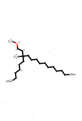 CCCCCCCCCCCCCCCCCCCCC(CCCCCCCCCCCCCCC)(CCO[N+](=O)[O-])[N+](=O)[O-]